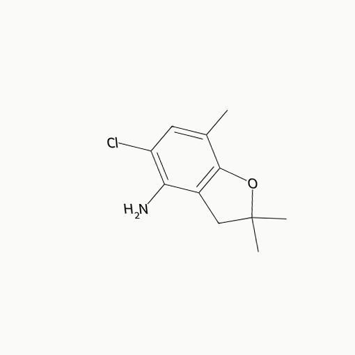 Cc1cc(Cl)c(N)c2c1OC(C)(C)C2